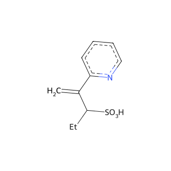 C=C(c1ccccn1)C(CC)S(=O)(=O)O